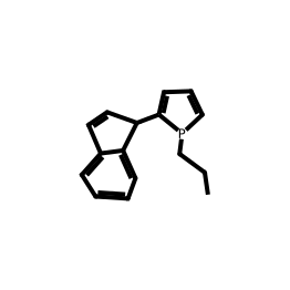 CCCp1cccc1[C]1C=Cc2ccccc21